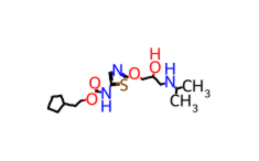 CC(C)NCC(O)COc1ncc(NC(=O)OCCC2CCCC2)s1